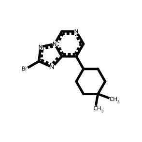 CC1(C)CCC(c2cncn3nc(Br)nc23)CC1